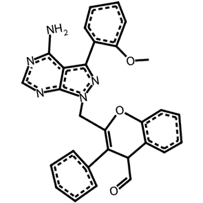 COc1ccccc1-c1nn(CC2=C(c3ccccc3)C(C=O)c3ccccc3O2)c2ncnc(N)c12